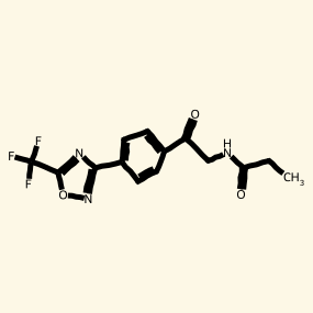 CCC(=O)NCC(=O)c1ccc(-c2noc(C(F)(F)F)n2)cc1